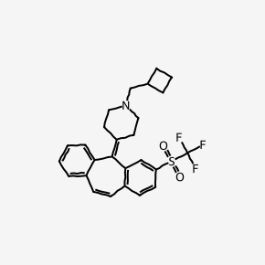 O=S(=O)(c1ccc2c(c1)C(=C1CCN(CC3CCC3)CC1)c1ccccc1C=C2)C(F)(F)F